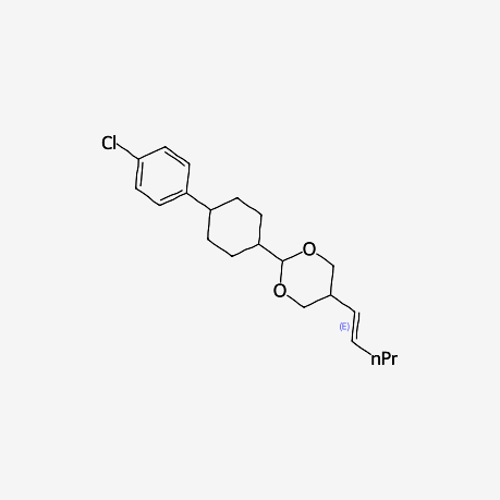 CCC/C=C/C1COC(C2CCC(c3ccc(Cl)cc3)CC2)OC1